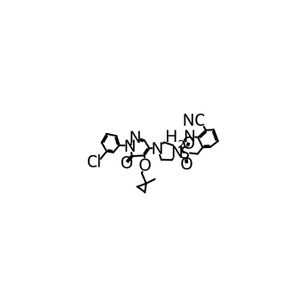 CC1(COc2c(N3CCN(S(=O)(=O)Cc4cccc(C#N)c4N)CC3)cnn(-c3cccc(Cl)c3)c2=O)CC1